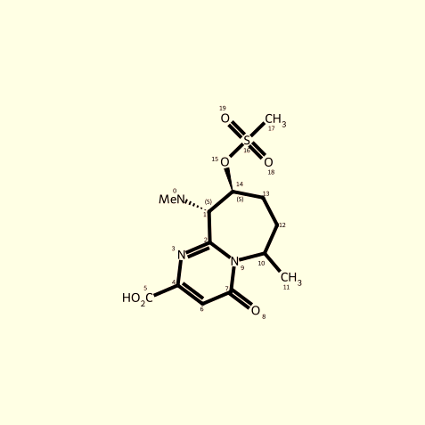 CN[C@H]1c2nc(C(=O)O)cc(=O)n2C(C)CC[C@@H]1OS(C)(=O)=O